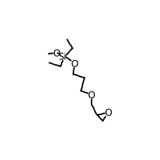 CC[Si](CC)(OC)OCCCOCC1CO1